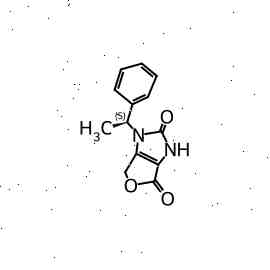 C[C@@H](c1ccccc1)n1c2c([nH]c1=O)C(=O)OC2